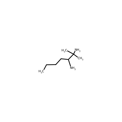 CCCCC(N)C(C)(C)N